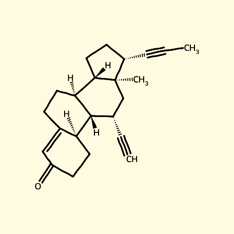 C#C[C@H]1C[C@]2(C)[C@@H](C#CC)CC[C@H]2[C@@H]2CCC3=CC(=O)CC[C@@H]3[C@H]21